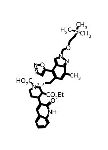 CCOC(=O)C1C(c2cc3ccccc3[nH]c2=O)CCN(C(=O)O)[C@@H]1CCc1cc(C)c2nn(COCC[Si](C)(C)C)cc2c1-c1cnno1